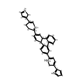 C1=CC(C2=CC=C(c3ccc4c(c3)-c3ccccc3C3C=C(C5=NC=C(C6=CC=NC6)CC5)C=CC43)NC2)=[N+]=C1